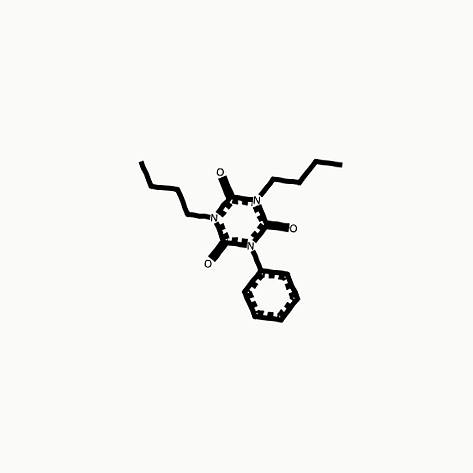 CCCCn1c(=O)n(CCCC)c(=O)n(-c2ccccc2)c1=O